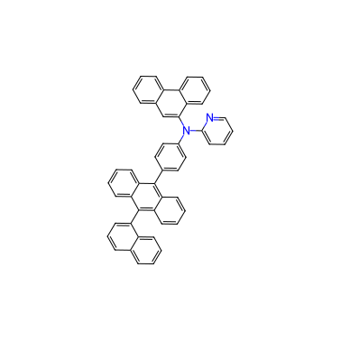 c1ccc(N(c2ccc(-c3c4ccccc4c(-c4cccc5ccccc45)c4ccccc34)cc2)c2cc3ccccc3c3ccccc23)nc1